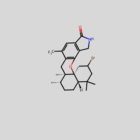 C[C@H]1CC[C@H]2C(C)(C)CC(Br)C[C@]23Oc2c4c(cc(C(F)(F)F)c2C[C@]13C)C(=O)NC4